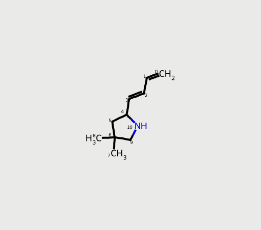 C=C/C=C/C1CC(C)(C)CN1